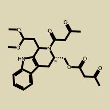 COC(CC1c2[nH]c3ccccc3c2C[C@@H](COC(=O)CC(C)=O)N1C(=O)CC(C)=O)OC